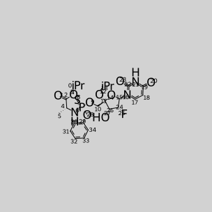 CC(C)OC(=O)[C@@H](C)NP(=S)(OC[C@@]1(OC(C)C)O[C@@H](n2ccc(=O)[nH]c2=O)[C@H](F)[C@@H]1O)Oc1ccccc1